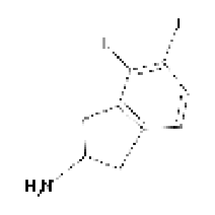 NC1Cc2ccc(I)c(I)c2C1